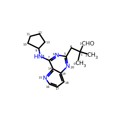 CC(C)(C=O)Cc1nc(NC2CCCC2)c2ncccc2n1